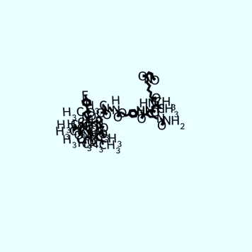 CC[C@H](C)C([C@@H](CC(=O)N1C[C@@H](OC(=O)N(C)CCNC(=O)OCc2ccc(NC(=O)C(CCCNC(N)=O)NC(=O)[C@@H](NC(=O)CCCCCN3C(=O)C=CC3=O)C(C)C)cc2)C[C@H]1[C@H](OC)[C@@H](C)C(=O)N[C@@H](C)C(=O)c1ccc(F)cc1)OC)N(C)C(=O)[C@@H](NC(=O)[C@H](C(C)C)N(C)C)C(C)C